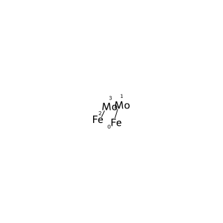 [Fe][Mo].[Fe][Mo]